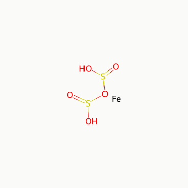 O=S(O)OS(=O)O.[Fe]